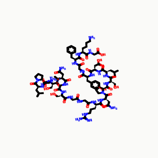 CC(C)C[C@H](NC(=O)[C@H](CC(N)=O)NC(=O)[C@H](CO)NC(=O)[C@@H]1CCCN1C(=O)[C@H](CC(C)C)NC(=O)CN)C(=O)N[C@@H](CO)C(=O)NCC(=O)NCC(=O)N[C@@H](CCCNC(=N)N)C(=O)N[C@@H](CC(N)=O)C(=O)N1CCC[C@H]1C(=O)N[C@@H](CO)C(=O)N[C@@H](CC(C)C)C(=O)N[C@@H](CC(=O)O)C(=O)N[C@@H](Cc1ccc(O)cc1)C(=O)NCC(=O)N[C@@H](Cc1ccccc1)C(=O)N[C@@H](CCCCN)C(=O)NCC(=O)O